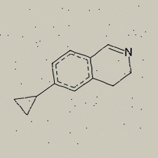 C1=NCCc2cc(C3CC3)ccc21